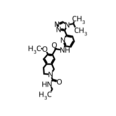 CCNC(=O)N1CCc2cc(OC)c(C(=O)Nc3cccc(-c4nncn4C(C)C)n3)cc2C1